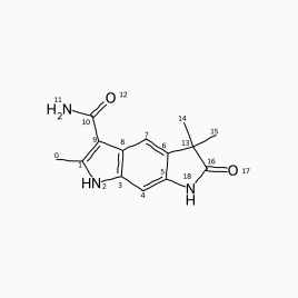 Cc1[nH]c2cc3c(cc2c1C(N)=O)C(C)(C)C(=O)N3